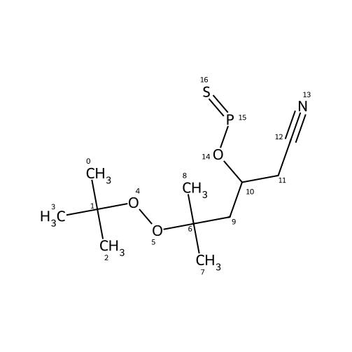 CC(C)(C)OOC(C)(C)CC(CC#N)OP=S